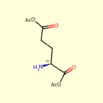 CC(=O)OC(=O)CC[C@H](N)C(=O)OC(C)=O